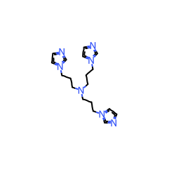 c1cn(CCCN(CCCn2ccnc2)CCCn2ccnc2)cn1